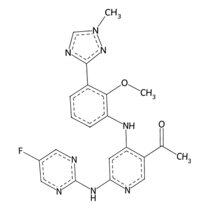 COc1c(Nc2cc(Nc3ncc(F)cn3)ncc2C(C)=O)cccc1-c1ncn(C)n1